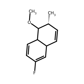 COC1C2C=CC(F)=CC2C=C[C@H]1C